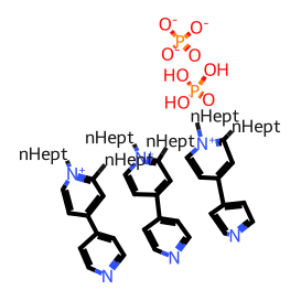 CCCCCCCc1cc(-c2ccncc2)cc[n+]1CCCCCCC.CCCCCCCc1cc(-c2ccncc2)cc[n+]1CCCCCCC.CCCCCCCc1cc(-c2ccncc2)cc[n+]1CCCCCCC.O=P(O)(O)O.O=P([O-])([O-])[O-]